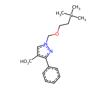 C[Si](C)(C)CCOCn1cc(C(=O)O)c(-c2ccccc2)n1